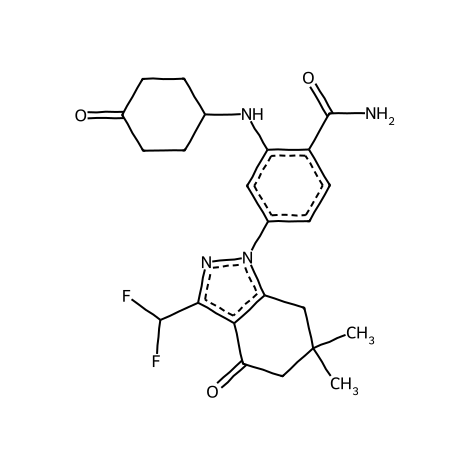 CC1(C)CC(=O)c2c(C(F)F)nn(-c3ccc(C(N)=O)c(NC4CCC(=O)CC4)c3)c2C1